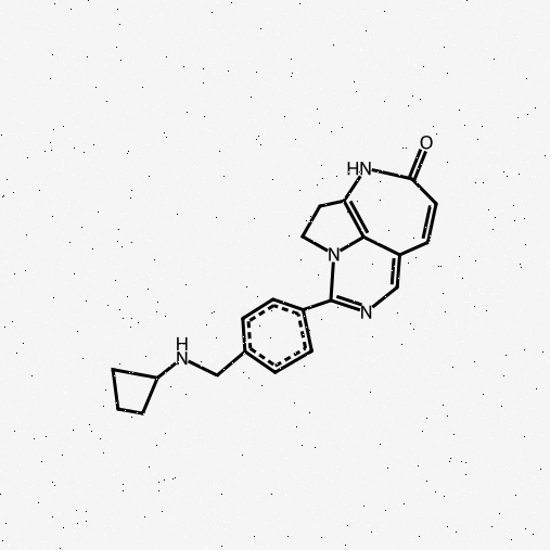 O=C1C=CC2=CN=C(c3ccc(CNC4CCC4)cc3)N3CCC(=C23)N1